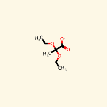 CCOC(C)(OCC)C([O])=O